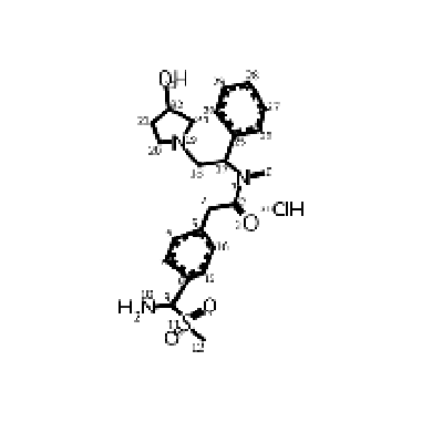 CN(C(=O)Cc1ccc(C(N)S(C)(=O)=O)cc1)C(CN1CCC(O)C1)c1ccccc1.Cl